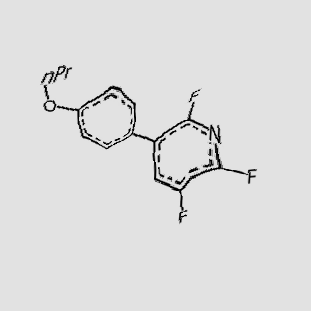 CCCOc1ccc(-c2cc(F)c(F)nc2F)cc1